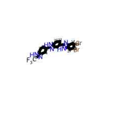 FC(F)(F)c1nc2cc(-c3nc4cc(-c5nc6cc(Br)c(Br)cc6[nH]5)ccc4[nH]3)ccc2[nH]1